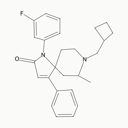 CC1CC2(CCN1CC1CCC1)C(c1ccccc1)=CC(=O)N2c1cccc(F)c1